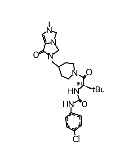 CN1C=C2C(=O)N(CC3CCN(C(=O)[C@H](NC(=O)Nc4ccc(Cl)cc4)C(C)(C)C)CC3)CN2C1